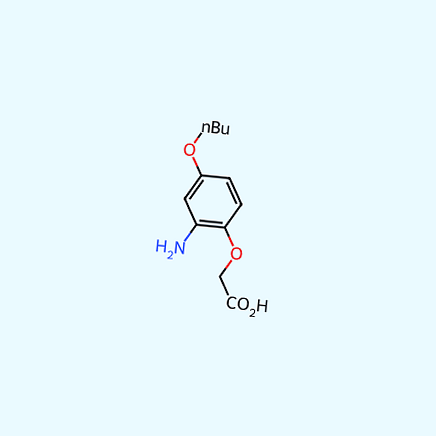 CCCCOc1ccc(OCC(=O)O)c(N)c1